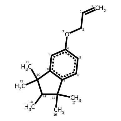 C=CCOc1ccc2c(c1)C(C)(C)C(C)C2(C)C